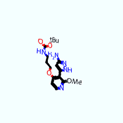 COc1nccc(OCCCNC(=O)OC(C)(C)C)c1-c1cc(N)n[nH]1